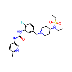 CCN(C1CCN(Cc2ccc(F)c(NC(=O)Nc3ccc(C)nc3)c2)CC1)S(=O)(=O)CC